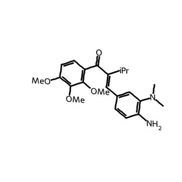 COc1ccc(C(=O)C(=Cc2ccc(N)c(N(C)C)c2)C(C)C)c(OC)c1OC